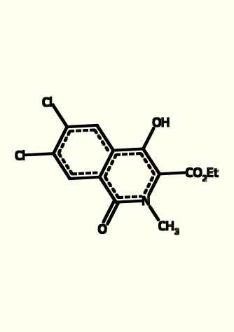 CCOC(=O)c1c(O)c2cc(Cl)c(Cl)cc2c(=O)n1C